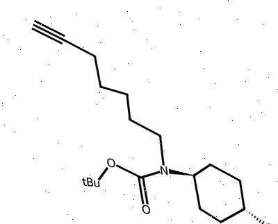 C#CCCCCCN(C(=O)OC(C)(C)C)[C@H]1CC[C@H](O)CC1